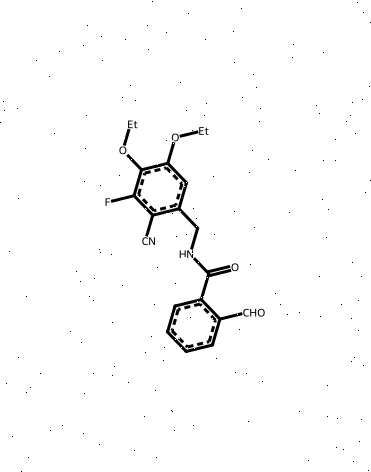 CCOc1cc(CNC(=O)c2ccccc2C=O)c(C#N)c(F)c1OCC